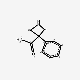 NC(=O)C1(c2ccccc2)CNC1